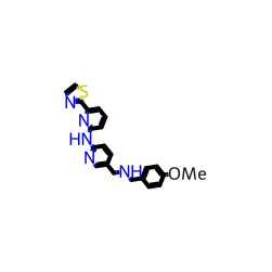 COc1ccc(CNCc2ccc(Nc3cccc(-c4nccs4)n3)nc2)cc1